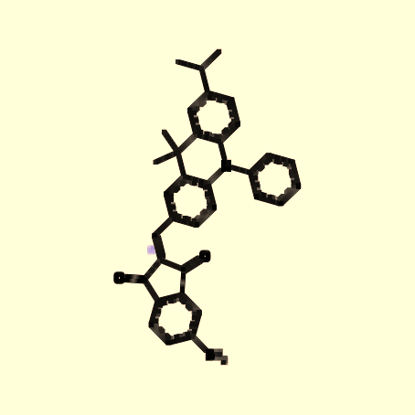 Bc1ccc2c(c1)C(=O)/C(=C\c1ccc3c(c1)C(C)(C)c1cc(C(C)C)ccc1N3c1ccccc1)C2=O